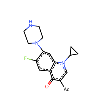 CC(=O)c1cn(C2CC2)c2cc(N3CCNCC3)c(F)cc2c1=O